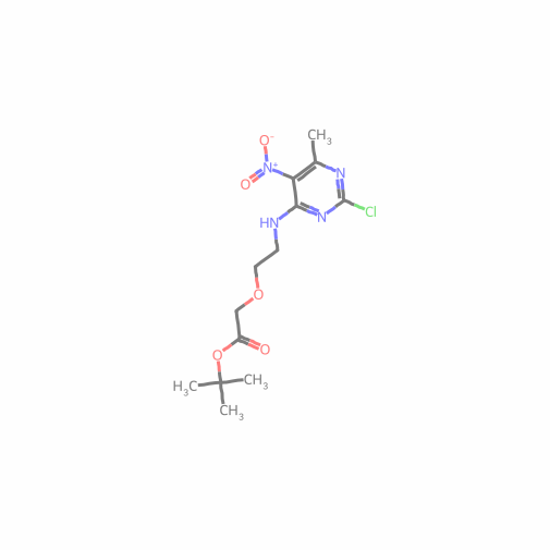 Cc1nc(Cl)nc(NCCOCC(=O)OC(C)(C)C)c1[N+](=O)[O-]